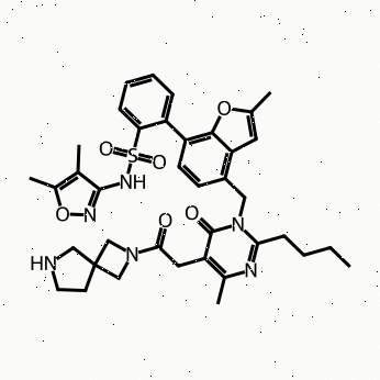 CCCCc1nc(C)c(CC(=O)N2CC3(CCNC3)C2)c(=O)n1Cc1ccc(-c2ccccc2S(=O)(=O)Nc2noc(C)c2C)c2oc(C)cc12